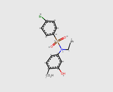 CC(C)CN(c1ccc(C(=O)O)c(O)c1)S(=O)(=O)c1ccc(Br)cc1